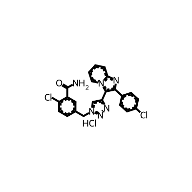 Cl.NC(=O)c1cc(Cn2cc(-c3c(-c4ccc(Cl)cc4)nc4ccccn34)nn2)ccc1Cl